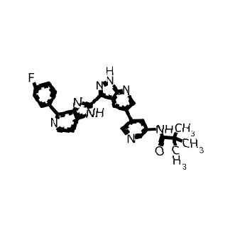 CC(C)(C)C(=O)Nc1cncc(-c2cnc3[nH]nc(-c4nc5c(-c6ccc(F)cc6)nccc5[nH]4)c3c2)c1